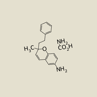 CC1(CCc2ccccc2)C=Cc2cc(N)ccc2O1.NC(=O)O